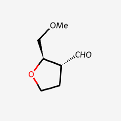 COC[C@@H]1OCC[C@H]1C=O